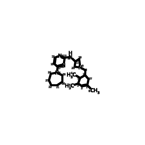 CC1=CC(C)C(C)C(CN2CC(Nc3nccc(N4CCCCCC4)n3)C2)C1